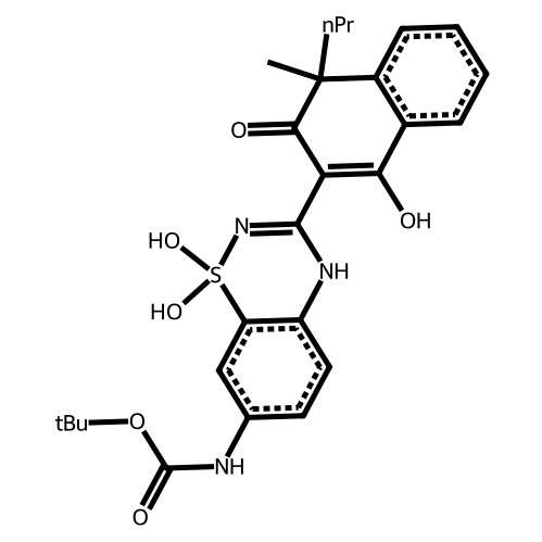 CCCC1(C)C(=O)C(C2=NS(O)(O)c3cc(NC(=O)OC(C)(C)C)ccc3N2)=C(O)c2ccccc21